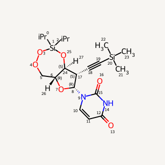 CC(C)[Si]1(C(C)C)OOC[C@H]2O[C@@H](n3ccc(=O)[nH]c3=O)[C@@H](C#C[Si](C)(C)C)[C@@H]2O1